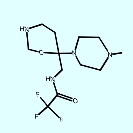 CN1CCN(C2(CNC(=O)C(F)(F)F)CCNCC2)CC1